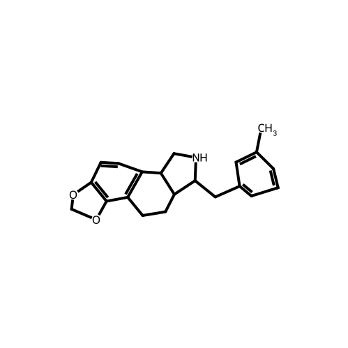 Cc1cccc(CC2NCC3c4ccc5c(c4CCC23)OCO5)c1